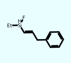 CC[SiH](F)C=CCc1ccccc1